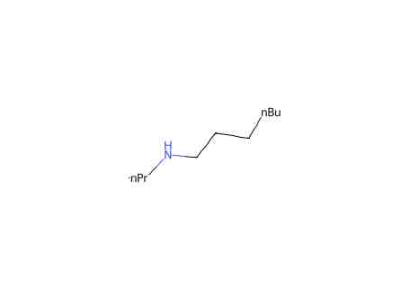 CC[CH]NCCCCCCC